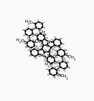 Cc1cccc(C)c1-c1cccc(-c2c(C)cccc2C)c1-c1ccc2c(c1)c1c3c4ccccc4n4c5ccc(-c6c(-c7c(C)cccc7C)cccc6-c6c(C)cccc6C)cc5c(c5c6ccccc6n2c51)c34